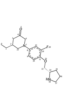 CCC1CC(=O)CN(c2ccc(OC[C@@H]3CCCN3)c(F)c2)C1